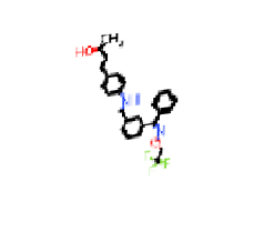 C=C(O)CCc1ccc(NCc2cccc(/C(=N\OCC(F)(F)F)c3ccccc3)c2)cc1